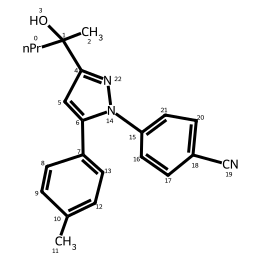 CCCC(C)(O)c1cc(-c2ccc(C)cc2)n(-c2ccc(C#N)cc2)n1